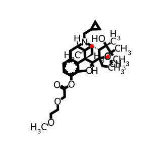 CCC1(OC)[C@@H]([C@](C)(O)C(C)(C)C)C[C@]2(C)[C@H]3Cc4ccc(OC(=O)COCCOC)c5c4[C@@]2(CCN3CC2CC2)[C@H]1O5